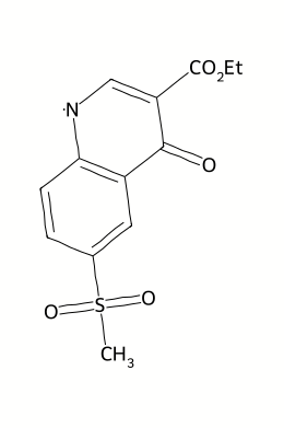 CCOC(=O)C1=C[N]c2ccc(S(C)(=O)=O)cc2C1=O